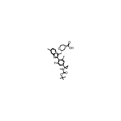 Cc1ccn2c(C[C@H]3CN(C(=O)O)CCO3)c(-c3c(F)cc(C4(N(C)C(=O)OC(C)(C)C)CC4)cc3F)nc2c1